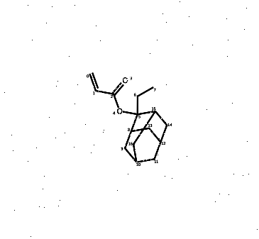 C=CC(=O)OC1(CC)C2CC3CC(C2)CC1C3